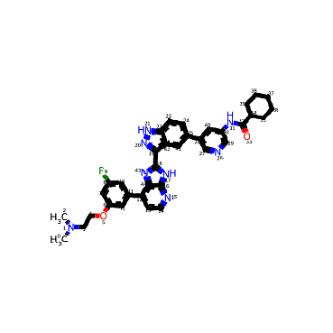 CN(C)CCOc1cc(F)cc(-c2ccnc3[nH]c(-c4n[nH]c5ccc(-c6cncc(NC(=O)C7CCCCC7)c6)cc45)nc23)c1